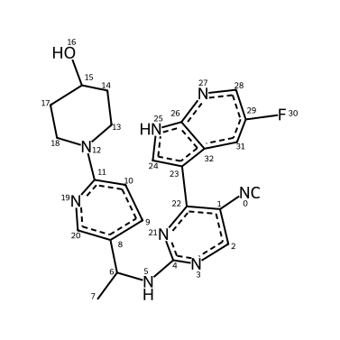 [C-]#[N+]c1cnc(NC(C)c2ccc(N3CCC(O)CC3)nc2)nc1-c1c[nH]c2ncc(F)cc12